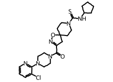 O=C(C1=NOC2(CCN(C(=S)NC3CCCC3)CC2)C1)N1CCN(c2ncccc2Cl)CC1